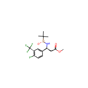 COC(=O)C[C@H](N[S@+]([O-])C(C)(C)C)c1ccc(F)c(C(F)(F)F)c1